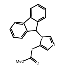 COC(=O)Oc1cncn1C1c2ccccc2-c2ccccc21